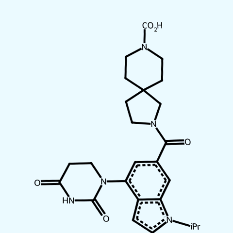 CC(C)n1ccc2c(N3CCC(=O)NC3=O)cc(C(=O)N3CCC4(CCN(C(=O)O)CC4)C3)cc21